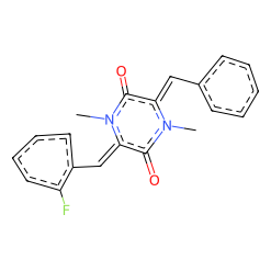 Cn1c(=O)c(=Cc2ccccc2F)n(C)c(=O)c1=Cc1ccccc1